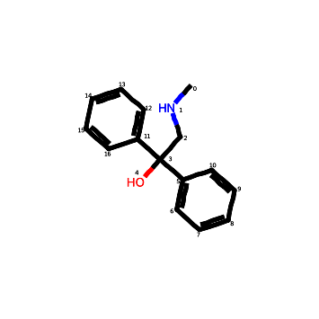 CNCC(O)(c1ccccc1)c1ccccc1